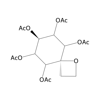 CC(=O)OC1C(OC(C)=O)[C@]2(CCO2)C(OC(C)=O)C(OC(C)=O)[C@H]1OC(C)=O